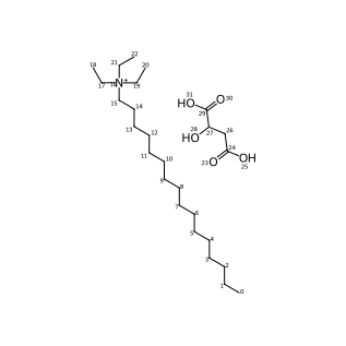 CCCCCCCCCCCCCCCC[N+](CC)(CC)CC.O=C(O)CC(O)C(=O)O